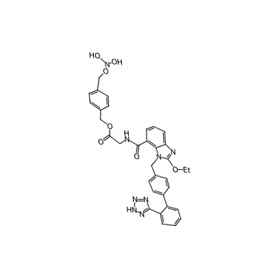 CCOc1nc2cccc(C(=O)NCC(=O)OCc3ccc(CON(O)O)cc3)c2n1Cc1ccc(-c2ccccc2-c2nn[nH]n2)cc1